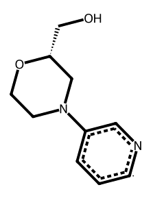 OC[C@@H]1CN(c2cc[c]nc2)CCO1